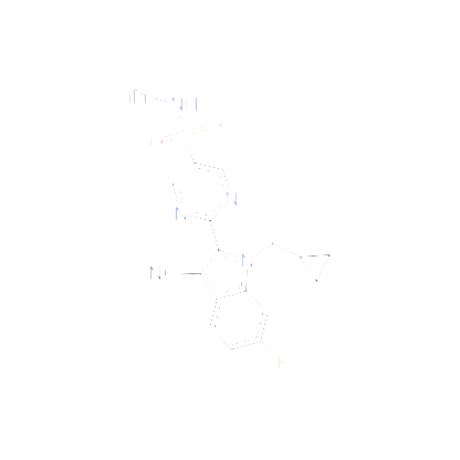 CC(C)NS(=O)(=O)c1cnc(-c2c(C#N)c3ccc(F)cc3n2CC2CC2)nc1